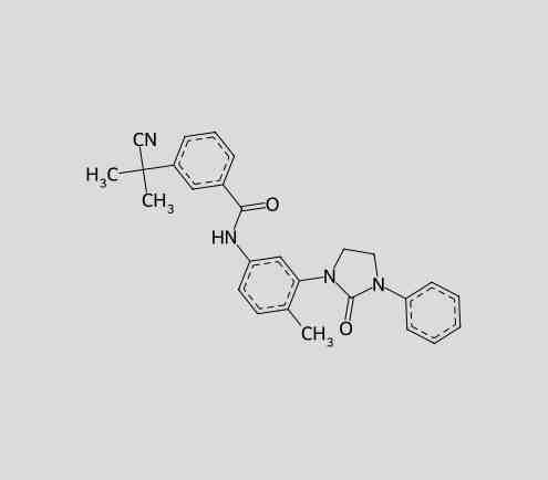 Cc1ccc(NC(=O)c2cccc(C(C)(C)C#N)c2)cc1N1CCN(c2ccccc2)C1=O